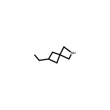 CCC1CC2(CNC2)C1